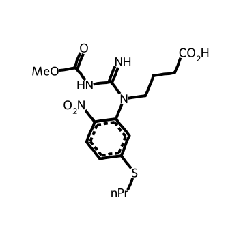 CCCSc1ccc([N+](=O)[O-])c(N(CCCC(=O)O)C(=N)NC(=O)OC)c1